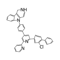 Clc1cc(-c2cc(-c3ccc(-n4c5c(c6ccccc64)CNC=C5)cc3)cc(-c3ccccn3)n2)ccc1-c1ccccc1